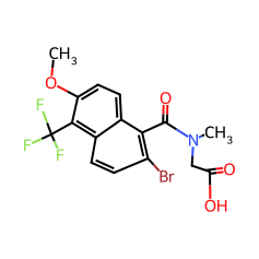 COc1ccc2c(C(=O)N(C)CC(=O)O)c(Br)ccc2c1C(F)(F)F